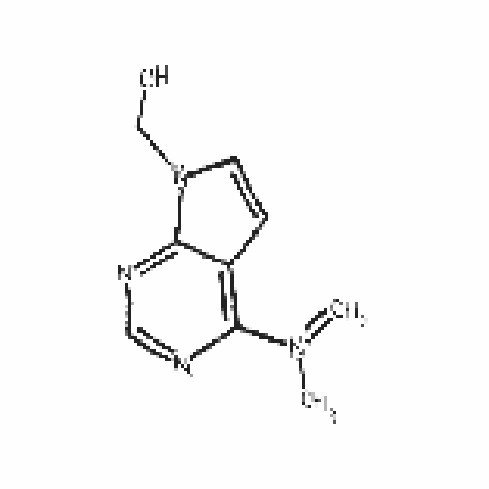 C=[N+](C)c1ncnc2c1ccn2CO